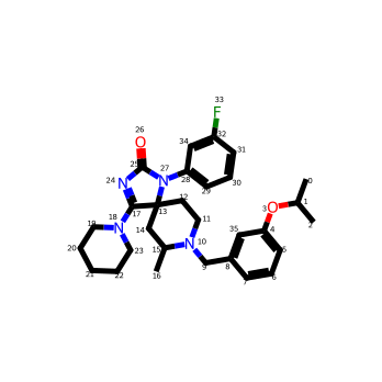 CC(C)Oc1cccc(CN2CCC3(CC2C)C(N2CCCCC2)=NC(=O)N3c2cccc(F)c2)c1